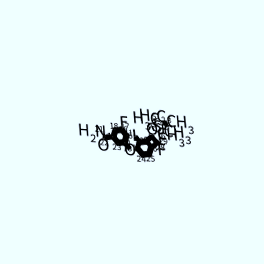 CC(C)(C)[Si](C)(C)OC1C2=C(I)C(Oc3cc(F)cc(C(N)=O)c3)=C=C=C2C1(F)F